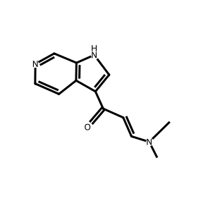 CN(C)C=CC(=O)c1c[nH]c2cnccc12